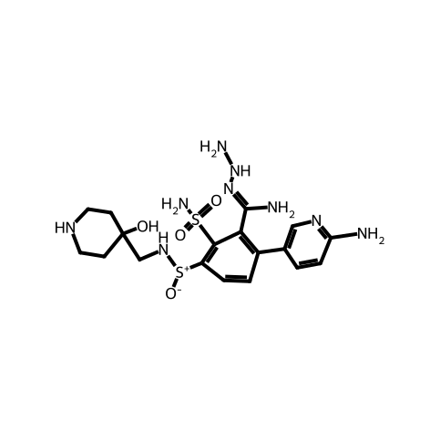 NN/N=C(\N)c1c(-c2ccc(N)nc2)ccc([S+]([O-])NCC2(O)CCNCC2)c1S(N)(=O)=O